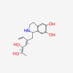 C=C/C(=C\C(O)=C(/C)O)CC1NCCc2cc(O)c(O)cc21